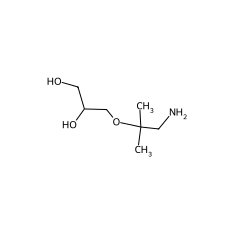 CC(C)(CN)OCC(O)CO